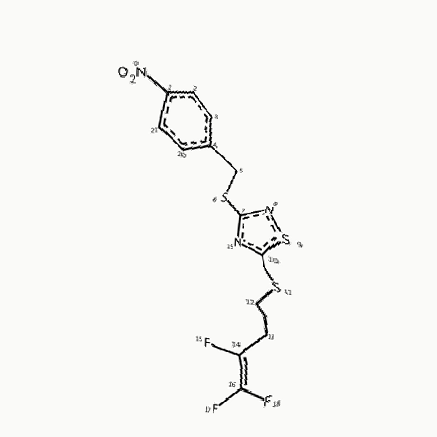 O=[N+]([O-])c1ccc(CSc2nsc(SCCC(F)=C(F)F)n2)cc1